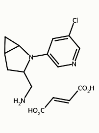 NCC1CC2CC2N1c1cncc(Cl)c1.O=C(O)C=CC(=O)O